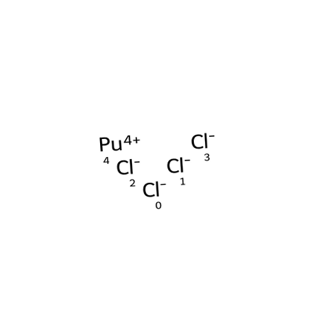 [Cl-].[Cl-].[Cl-].[Cl-].[Pu+4]